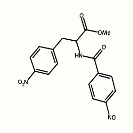 COC(=O)C(Cc1ccc([N+](=O)[O-])cc1)NC(=O)c1ccc(N=O)cc1